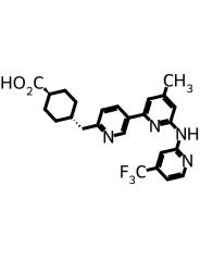 Cc1cc(Nc2cc(C(F)(F)F)ccn2)nc(-c2ccc(C[C@H]3CC[C@H](C(=O)O)CC3)nc2)c1